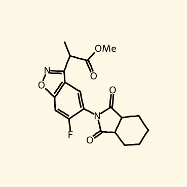 COC(=O)C(C)c1noc2cc(F)c(N3C(=O)C4CCCCC4C3=O)cc12